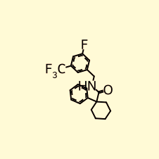 O=C(NCc1cc(F)cc(C(F)(F)F)c1)C1(c2ccccc2)CCCCC1